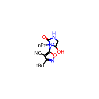 CCC[N+]1(c2onc(C(C)(C)C)c2C#N)C(=O)NCC1O